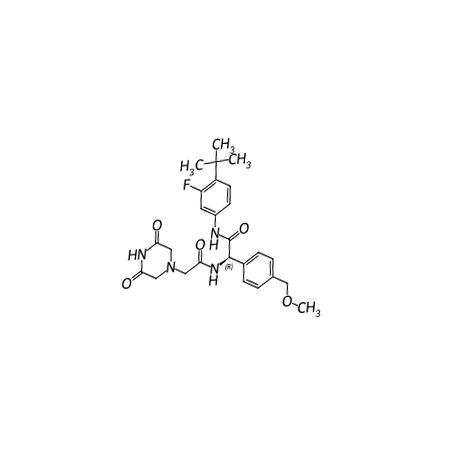 COCc1ccc([C@@H](NC(=O)CN2CC(=O)NC(=O)C2)C(=O)Nc2ccc(C(C)(C)C)c(F)c2)cc1